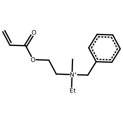 C=CC(=O)OCC[N+](C)(CC)Cc1ccccc1